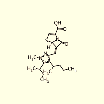 CCCC(C)c1c(/C=C2/C(=O)N3C(C(=O)O)=CS[C@H]23)nn(C)c1C(C)CC